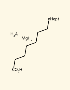 CCCCCCCCCCCCCC(=O)O.[AlH3].[MgH2]